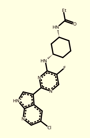 CCC(=O)N[C@@H]1CCC[C@H](Nc2nc(-c3c[nH]c4ncc(Cl)cc34)ncc2F)C1